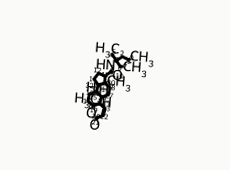 CCCC(CC)(CC)NC(=O)C1CC[C@H]2[C@@H]3CCC4OC(=O)C=C[C@]4(C)[C@@H]3CC[C@]12C